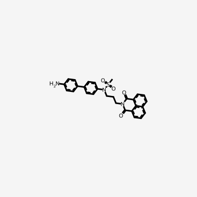 CS(=O)(=O)N(CCCN1C(=O)c2cccc3cccc(c23)C1=O)c1ccc(-c2ccc(N)cc2)cc1